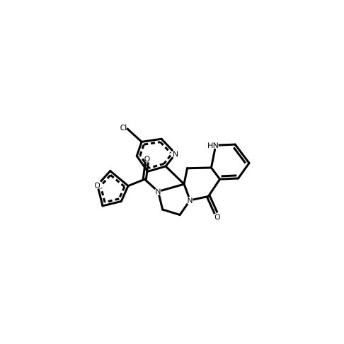 O=C1C2=CC=CNC2CC2(c3ccc(Cl)cn3)N1CCN2C(=O)c1ccoc1